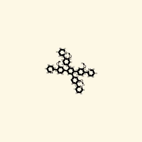 COc1cc(-c2cc(-c3ccc(-c4ccccn4)c(OC)c3)c(-c3ccc(-c4ccccn4)c(OC)c3)cc2-c2ccc(-c3ccccn3)c(OC)c2)ccc1-c1ccccn1